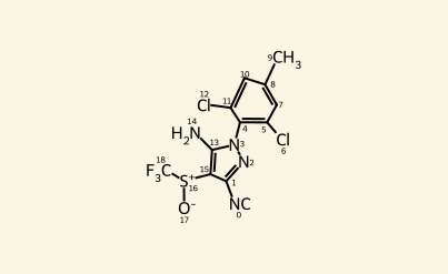 [C-]#[N+]c1nn(-c2c(Cl)cc(C)cc2Cl)c(N)c1[S+]([O-])C(F)(F)F